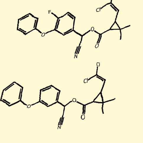 CC1(C)C(C=C(Cl)Cl)C1C(=O)OC(C#N)c1ccc(F)c(Oc2ccccc2)c1.CC1(C)C(C=C(Cl)Cl)C1C(=O)OC(C#N)c1cccc(Oc2ccccc2)c1